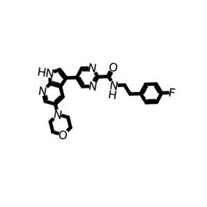 O=C(NCCc1ccc(F)cc1)c1ncc(-c2c[nH]c3ncc(N4CCOCC4)cc23)cn1